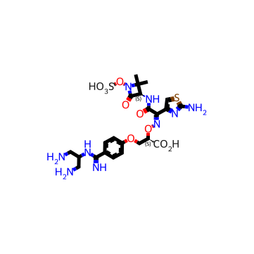 CC1(C)[C@H](NC(=O)C(=NO[C@@H](COc2ccc(C(=N)NC(CN)CN)cc2)C(=O)O)c2csc(N)n2)C(=O)N1OS(=O)(=O)O